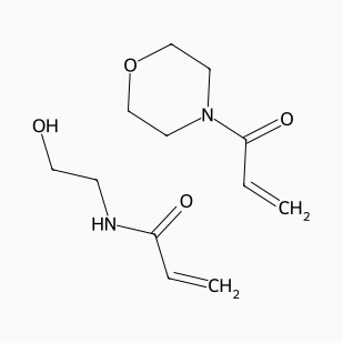 C=CC(=O)N1CCOCC1.C=CC(=O)NCCO